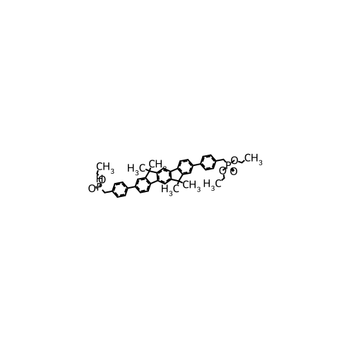 CCO[PH](=O)Cc1ccc(-c2ccc3c(c2)C(C)(C)c2cc4c(cc2-3)C(C)(C)c2cc(-c3ccc(CP(=O)(OCC)OCC)cc3)ccc2-4)cc1